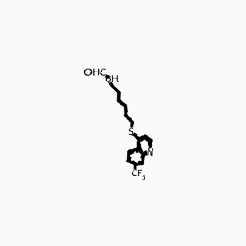 O=CBCCCCCCSc1ccnc2cc(C(F)(F)F)ccc12